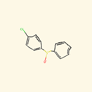 [O-][S+](c1c[c]ccc1)c1ccc(Cl)cc1